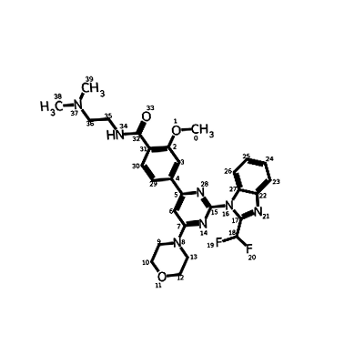 COc1cc(-c2cc(N3CCOCC3)nc(-n3c(C(F)F)nc4ccccc43)n2)ccc1C(=O)NCCN(C)C